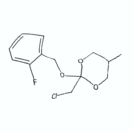 CC1COC(CCl)(OCc2ccccc2F)OC1